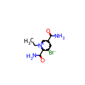 CC[n+]1cc(C(N)=O)ccc1C(N)=O.[Br-]